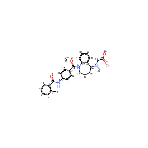 Cc1ccccc1C(=O)Nc1ccc(C(=O)N2CCCC(N(C)CC(=O)[O-])c3ccccc32)cc1.[K+]